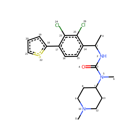 CC(NC(=O)N(C)C1CCN(C)CC1)c1ccc(-c2cccs2)c(Cl)c1Cl